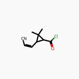 CC1(C)C(/C=C\C#N)C1C(=O)Cl